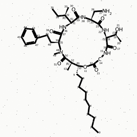 CCCCCCCCCC[C@H]1OC(=O)CNC(=O)[C@H]([C@H](C)O)NC(=O)[C@H](CN)NC(=O)[C@H]([C@H](C)CC)NC(=O)[C@H](CCc2ccccc2)N(C)C(=O)[C@@H]1C